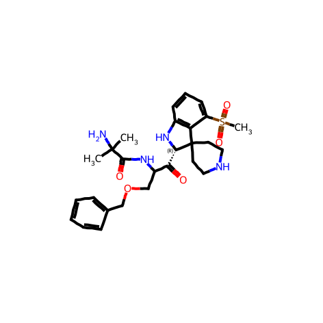 CC(C)(N)C(=O)NC(COCc1ccccc1)C(=O)[C@@H]1Nc2cccc(S(C)(=O)=O)c2C12CCNCC2